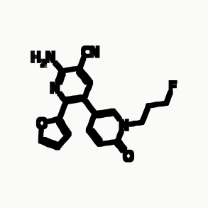 N#Cc1cc(-c2ccc(=O)n(CCCF)c2)c(-c2ccco2)nc1N